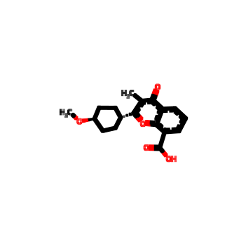 CO[C@H]1CC[C@H](c2oc3c(C(=O)O)cccc3c(=O)c2C)CC1